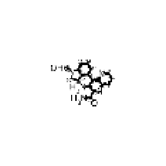 NC(=O)c1nc2cccnc2c(-c2cccc3c2CCN3C=O)c1N